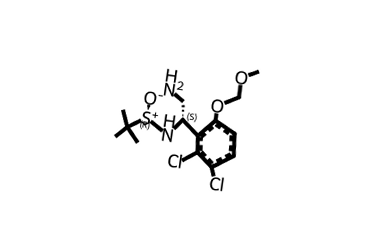 COCOc1ccc(Cl)c(Cl)c1[C@@H](CN)N[S@@+]([O-])C(C)(C)C